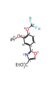 CCOC(=O)c1coc(-c2ccc(OC(F)F)c(OC(C)C)c2)n1